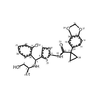 CCC(CO)NC(c1cnc(NC(=O)C2(c3ccc4c(c3)OCO4)CC2)s1)c1ccccc1Cl